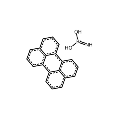 N=[B-](O)O.c1cc2cccc3c4cccc5cccc(c(c1)c23)c54